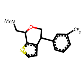 CNCC1OCC(c2cccc(C(F)(F)F)c2)c2ccsc21